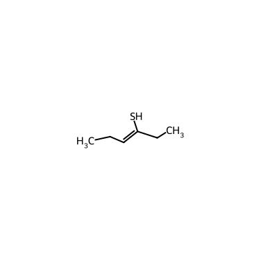 CCC=C(S)CC